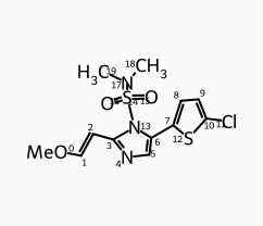 CO/C=C/c1ncc(-c2ccc(Cl)s2)n1S(=O)(=O)N(C)C